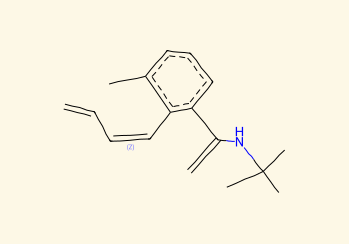 C=C/C=C\c1c(C)cccc1C(=C)NC(C)(C)C